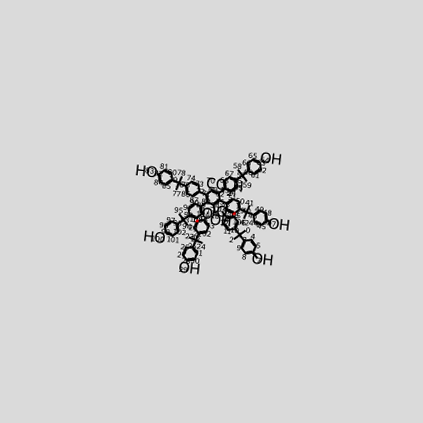 CC(C)(c1ccc(O)cc1)c1ccc(OC(O)(Oc2ccc(C(C)(C)c3ccc(O)cc3)cc2)c2c(-c3ccc(C(C)(C)c4ccc(O)cc4)cc3)c(-c3ccc(C(C)(C)c4ccc(O)cc4)cc3)c(C(=O)O)c(-c3ccc(C(C)(C)c4ccc(O)cc4)cc3)c2-c2ccc(C(C)(C)c3ccc(O)cc3)cc2)cc1